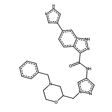 O=C(Nc1cnn(CC2CN(Cc3ccccc3)CCO2)c1)c1n[nH]c2cc(-c3cn[nH]c3)ccc12